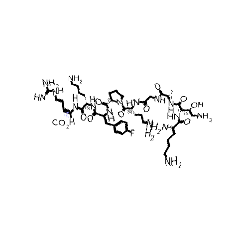 C[C@H](NC(=O)[C@@H](NC(=O)[C@@H](N)CCCCN)[C@@H](O)CN)C(=O)NCC(=O)N[C@H](CCCN)C(=O)N1CCC[C@H]1C(=O)NC(Cc1ccc(F)cc1)C(=O)N[C@@H](CCCCN)C(=O)N/C(=C\CCNC(=N)N)C(=O)O